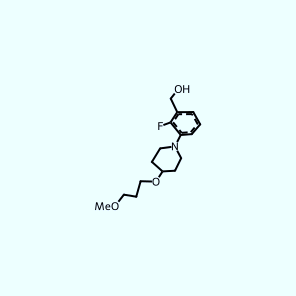 COCCCOC1CCN(c2cccc(CO)c2F)CC1